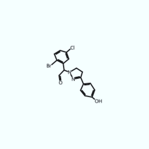 O=CC(c1cc(Cl)ccc1Br)N1CCC(c2ccc(O)cc2)=N1